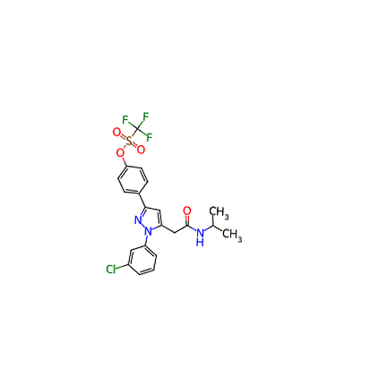 CC(C)NC(=O)Cc1cc(-c2ccc(OS(=O)(=O)C(F)(F)F)cc2)nn1-c1cccc(Cl)c1